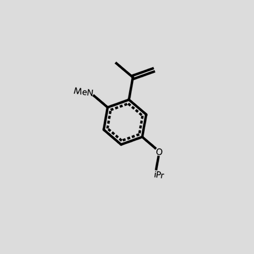 C=C(C)c1cc(OC(C)C)ccc1NC